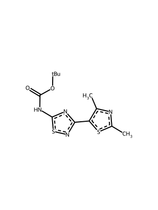 Cc1nc(C)c(-c2nsc(NC(=O)OC(C)(C)C)n2)s1